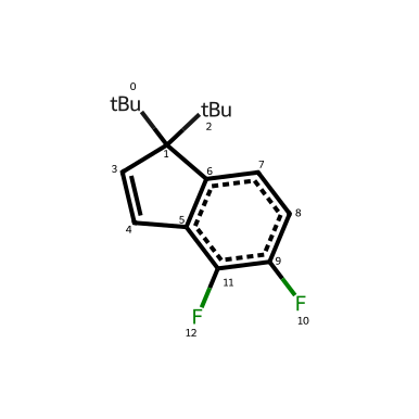 CC(C)(C)C1(C(C)(C)C)C=Cc2c1ccc(F)c2F